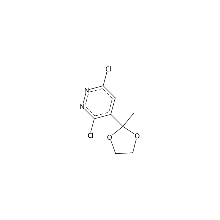 CC1(c2cc(Cl)nnc2Cl)OCCO1